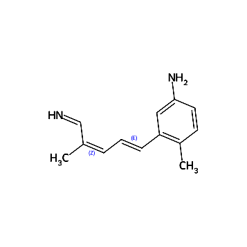 C/C(C=N)=C/C=C/c1cc(N)ccc1C